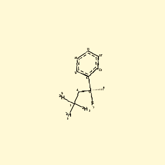 [2H]C([2H])([2H])C[C@](C)(F)c1ccccc1